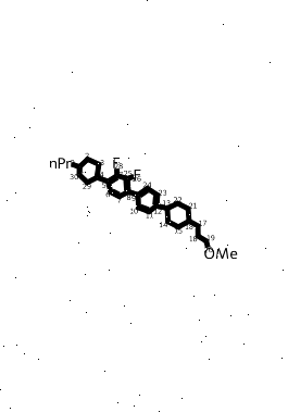 CCCC1CCC(c2ccc(-c3ccc(C4CCC(CCCOC)CC4)cc3)c(F)c2F)CC1